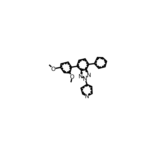 COc1ccc(-c2ccc(-c3ccccc3)c3nn(-c4ccncc4)nc23)c(OC)c1